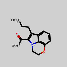 CCOC(=O)CCc1c(C(=O)OC)n2c3c(cccc13)OCC2